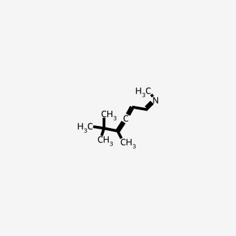 C/N=C\C=C=C(C)C(C)(C)C